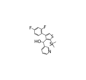 C[Si](C)(C)c1scc(-c2ccc(F)cc2F)c1C(O)c1cccnc1